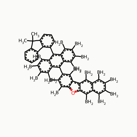 Bc1c(-c2c3c(B)c(B)c(B)c(B)c3c(-c3cccc4c3-c3ccccc3C4(C)C)c3c(B)c(B)c(B)c(B)c23)c(B)c2c(oc3c(B)c4c(B)c(B)c(B)c(B)c4c(B)c32)c1B